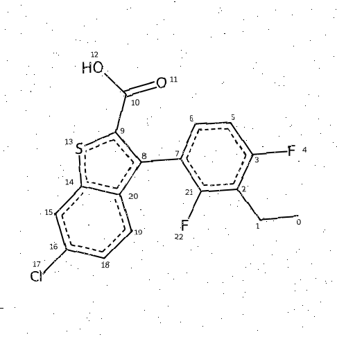 CCc1c(F)ccc(-c2c(C(=O)O)sc3cc(Cl)ccc23)c1F